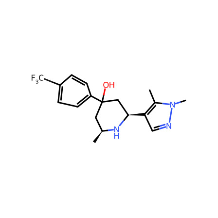 Cc1c([C@@H]2CC(O)(c3ccc(C(F)(F)F)cc3)C[C@H](C)N2)cnn1C